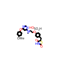 COc1ccc(Oc2cc(N(C)CCOc3ccc(CC4SC(=O)NC4=O)cc3)ncn2)cc1.O=S(=O)(O)O